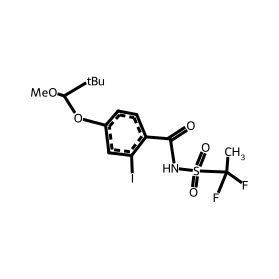 COC(Oc1ccc(C(=O)NS(=O)(=O)C(C)(F)F)c(I)c1)C(C)(C)C